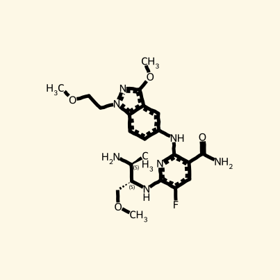 COCCn1nc(OC)c2cc(Nc3nc(N[C@H](COC)[C@H](C)N)c(F)cc3C(N)=O)ccc21